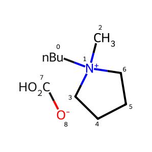 CCCC[N+]1(C)CCCC1.O=C([O-])O